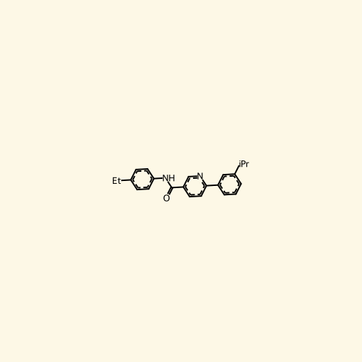 CCc1ccc(NC(=O)c2ccc(-c3cccc(C(C)C)c3)nc2)cc1